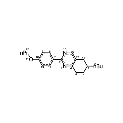 CCCCC1CCc2nc(-c3ccc(OCCC)cc3)ncc2C1